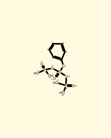 O=P(O)(O)OP(=O)(Oc1ccccc1)OP(=O)(O)O